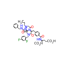 C=CCN1CC(=O)N2[C@@H](Cc3ccc(C(=O)N[C@@H](CCC(=O)O)C(=O)O)cc3)C(=O)N(Cc3ccc(F)cc3F)C[C@@H]2N1C(=O)NCc1ccccc1